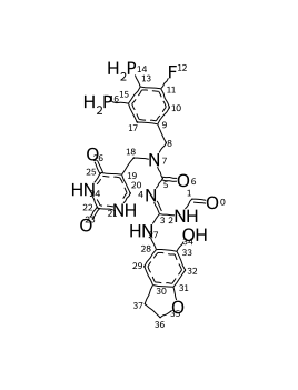 O=CN/C(=N\C(=O)N(Cc1cc(F)c(P)c(P)c1)Cc1c[nH]c(=O)[nH]c1=O)Nc1cc2c(cc1O)OCC2